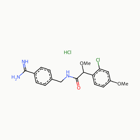 COc1ccc(C(OC)C(=O)NCc2ccc(C(=N)N)cc2)c(Cl)c1.Cl